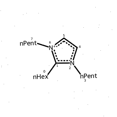 CCCCCCc1n(CCCCC)cc[n+]1CCCCC